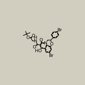 CC(C)(C)OC(=O)CNC(=O)c1c(O)c2cc(Br)cc3c2n(c1=O)CC(c1ccc(Br)cc1)O3